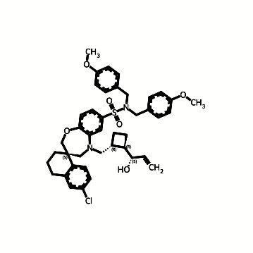 C=C[C@H](O)[C@@H]1CC[C@H]1CN1C[C@@]2(CCCc3cc(Cl)ccc32)COc2ccc(S(=O)(=O)N(Cc3ccc(OC)cc3)Cc3ccc(OC)cc3)cc21